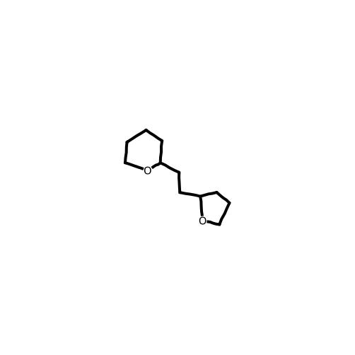 C1CCC(CCC2CCCO2)OC1